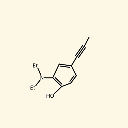 CC#Cc1ccc(O)c(N(CC)CC)c1